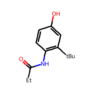 CCC(=O)Nc1ccc(O)cc1C(C)(C)C